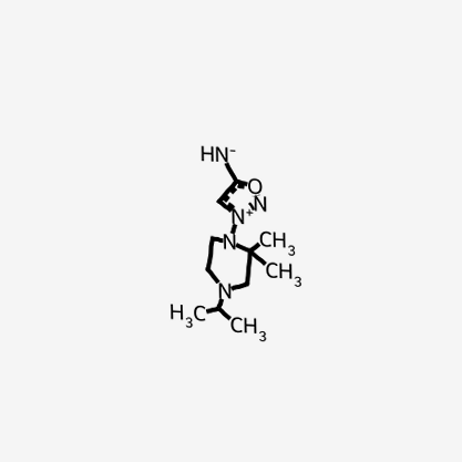 CC(C)N1CCN([n+]2cc([NH-])on2)C(C)(C)C1